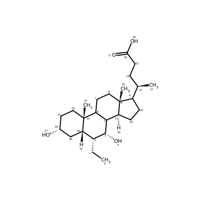 CC[C@H]1[C@@H](O)C2C(CC[C@]3(C)C([C@H](C)CCC(=O)O)CC[C@@H]23)[C@@]2(C)CC[C@@H](O)C[C@@H]12